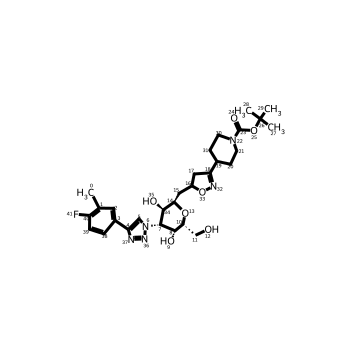 Cc1cc(-c2cn([C@H]3[C@@H](O)[C@@H](CO)O[C@H](CC4CC(C5CCN(C(=O)OC(C)(C)C)CC5)=NO4)[C@@H]3O)nn2)ccc1F